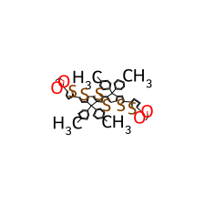 Cc1ccc(C2(c3ccc(C)cc3)c3cc(-c4ccc(C5OCCO5)s4)sc3-c3sc4c5c(sc4c32)-c2sc(-c3ccc(C4OCCO4)s3)cc2C5(c2ccc(C)cc2)c2ccc(C)cc2)cc1